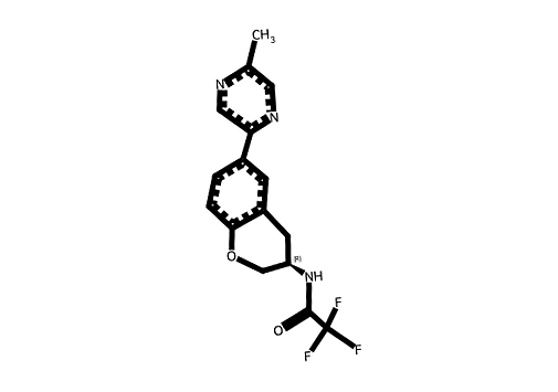 Cc1cnc(-c2ccc3c(c2)C[C@@H](NC(=O)C(F)(F)F)CO3)cn1